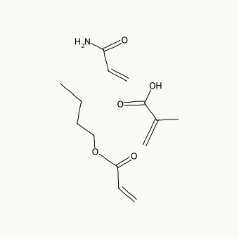 C=C(C)C(=O)O.C=CC(=O)OCCCC.C=CC(N)=O